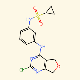 O=S(=O)(Nc1cccc(Nc2nc(Cl)nc3c2COC3)c1)C1CC1